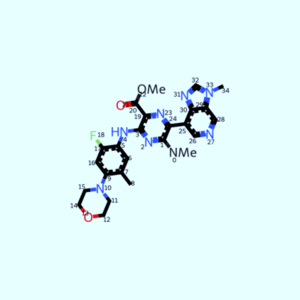 CNc1nc(Nc2cc(C)c(N3CCOCC3)cc2F)c(C(=O)OC)nc1-c1cncc2c1ncn2C